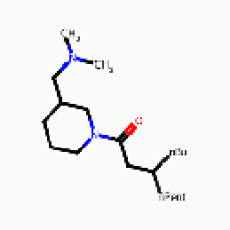 CCCCCC(CCCC)CC(=O)N1CCCC(CN(C)C)C1